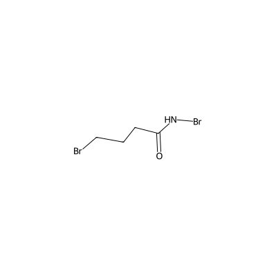 O=C(CCCBr)NBr